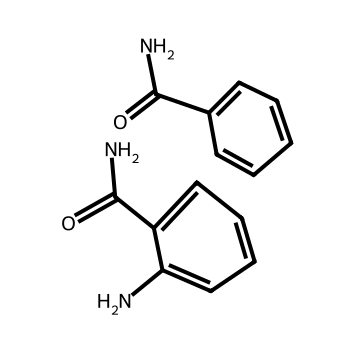 NC(=O)c1ccccc1.NC(=O)c1ccccc1N